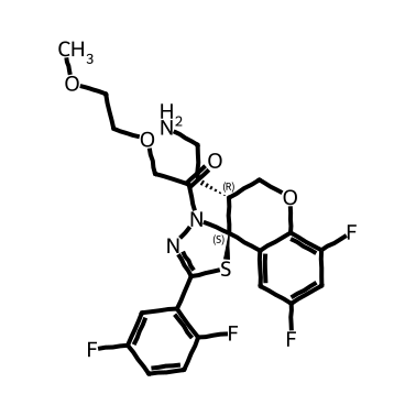 COCCOCC(=O)N1N=C(c2cc(F)ccc2F)S[C@@]12c1cc(F)cc(F)c1OC[C@H]2CCN